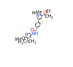 C=C(OCC)c1cc(-c2ccc(CC(=O)Nc3cnc(OC)c(C(C)(C)F)c3)cc2F)cnc1NC